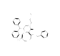 COCCN1C[C@H](C(c2ccccc2)c2ccccc2)N2/C=C(/N)COC/C(OCc3ccccc3)=C\2C1=O